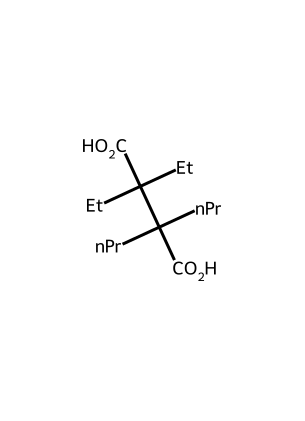 CCCC(CCC)(C(=O)O)C(CC)(CC)C(=O)O